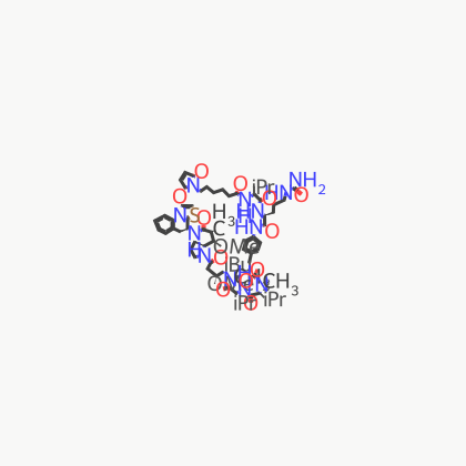 CC[C@H](C)[C@@H]([C@@H](CC(=O)N1CCC[C@H]1[C@H](OC)[C@@H](C)C(=O)N[C@@H](Cc1ccccc1)c1nccs1)OC)N(C)C(=O)[C@@H](NC(=O)[C@H](C(C)C)N(C)C(=O)OCc1ccc(NC(=O)[C@H](CCCNC(N)=O)NC(=O)[C@@H](NC(=O)CCCCCN2C(=O)C=CC2=O)C(C)C)cc1)C(C)C